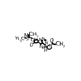 C=CC(=O)N1CCCC(Nc2ncnc(N)c2C(=N)c2ccc(OCc3sc(C)nc3C)c(Cl)c2)C1